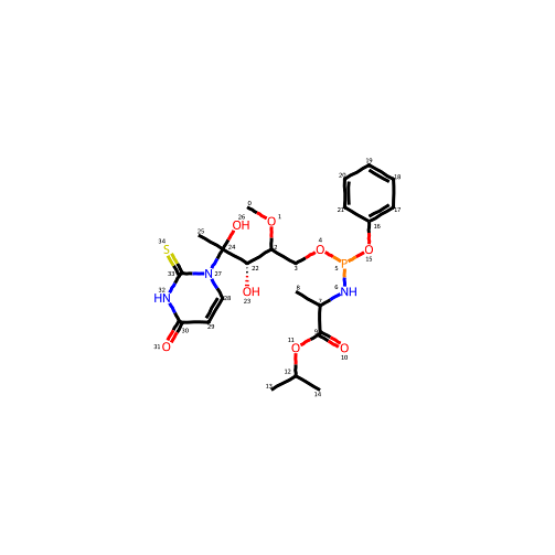 COC(COP(NC(C)C(=O)OC(C)C)Oc1ccccc1)[C@H](O)C(C)(O)n1ccc(=O)[nH]c1=S